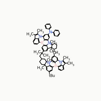 Cc1cc2c3c(c1)-n1c(C)c(C)c4cccc(c41)B3c1cc(C(C)(C)C)cc3c1N2C1(C)CC(CC(C)(C)c2cc4c5c(c2)C2(C)CCCCC2(C)N5c2cc(N(c5ccccc5)c5ccccc5)cc5c2B4c2cccc4c(C)c(C)n-5c24)CCC31C